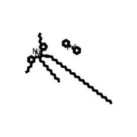 CCCCCCCCCCCCCCCCCCCCCCCCCCCCC#CC1=C(c2cccc(CCCC)c2)[N+](=[N-])C(c2cccc(CCCC)c2)=C1CCCCCCCCCCC.c1cc[c]([Pd][c]2ccccc2)cc1